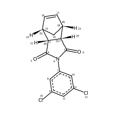 O=C1[C@@H]2[C@H](C(=O)N1c1cc(Cl)cc(Cl)c1)[C@@H]1C=C[C@H]2C1